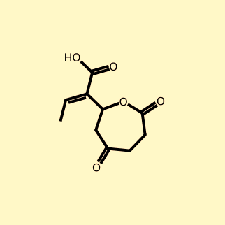 C/C=C(/C(=O)O)C1CC(=O)CCC(=O)O1